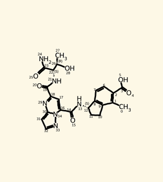 Cc1c(C(=O)O)ccc2c1CC[C@@H]2NC(=O)c1cc(C(=O)N[C@H](C(N)=O)[C@@H](C)O)nc2ccnn12